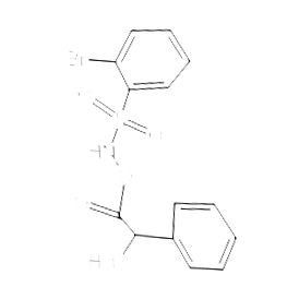 CC(C(=O)ONS(=O)(=O)c1ccccc1Br)c1ccccc1